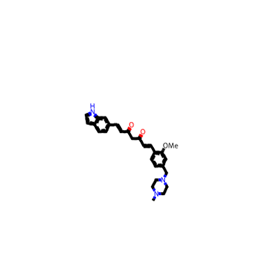 COc1cc(CN2CCN(C)CC2)ccc1/C=C/C(=O)CC(=O)/C=C/c1ccc2cc[nH]c2c1